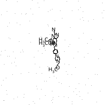 COCCN1CCN(c2ccc(CCNCc3cnc(C#N)nc3NCC(C)(C)C)cc2)CC1